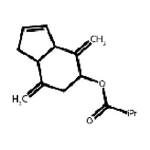 C=C1C(OC(=O)C(C)C)CC(=C)C2CC=CC12